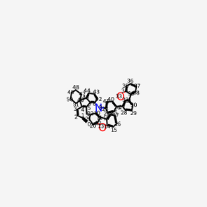 C#C/C=C\C1=C(C)c2c(N(C3=c4c(oc5ccccc45)=CCC3)c3ccc(-c4cccc5c4oc4ccccc45)cc3)cccc2C12CCCCC2